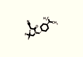 CC(C)[C@H]1CC[C@H](CN(CC(F)(F)F)C(=O)CC#N)CC1